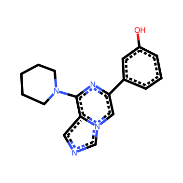 Oc1cccc(-c2cn3cncc3c(N3CCCCC3)n2)c1